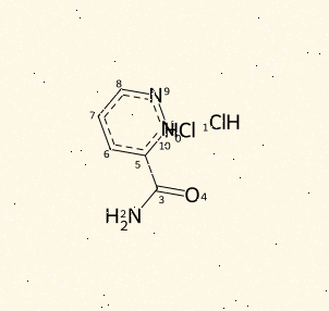 Cl.Cl.NC(=O)c1cccnn1